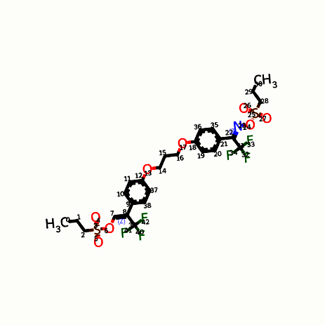 CCCS(=O)(=O)O/C=C(/c1ccc(OCCCOc2ccc(/C(=N/OS(=O)(=O)CCC)C(F)(F)F)cc2)cc1)C(F)(F)F